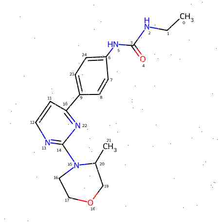 CCNC(=O)Nc1ccc(-c2ccnc(N3CCOCC3C)n2)cc1